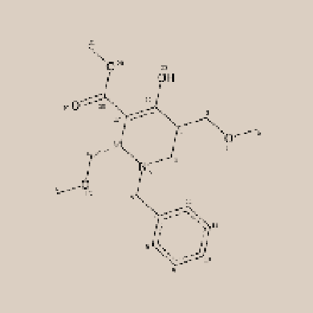 COCC1CN(Cc2ccccc2)[C@H](COC)C(C(=O)OC)=C1O